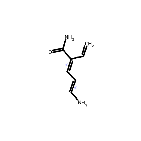 C=C/C(=C\C=C\N)C(N)=O